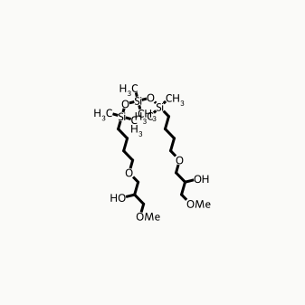 COCC(O)COCCCC[Si](C)(C)O[Si](C)(C)O[Si](C)(C)CCCCOCC(O)COC